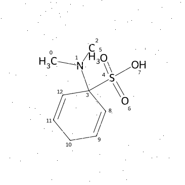 CN(C)C1(S(=O)(=O)O)C=CCC=C1